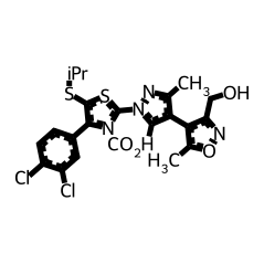 Cc1nn(-c2nc(-c3ccc(Cl)c(Cl)c3)c(SC(C)C)s2)c(C(=O)O)c1-c1c(CO)noc1C